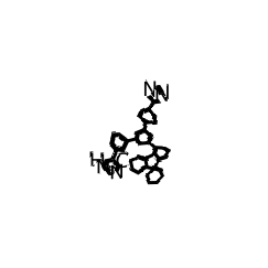 CC1C=C2C(=CC1)C1(CCCCC1)c1cccc(-c3cc(-c4ccc(-c5cncnc5)cc4)cc(-c4cccc(-c5cncnc5)c4)c3)c12